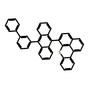 c1ccc(-c2cccc(-c3c4ccccc4c(-c4ccc5cccc6c5c4Sc4ccccc4-6)c4ccccc34)c2)cc1